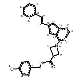 Cc1ccc(CNC(=O)C2CN(c3ncnn4cc(C=Cc5ccccn5)cc34)C2)cc1